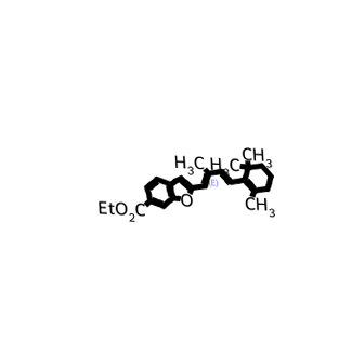 CCOC(=O)c1ccc2cc(/C=C(\C)C=CC3=C(C)CCCC3(C)C)oc2c1